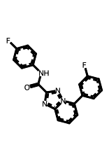 O=C(Nc1ccc(F)cc1)c1nc2cccc(-c3cccc(F)c3)n2n1